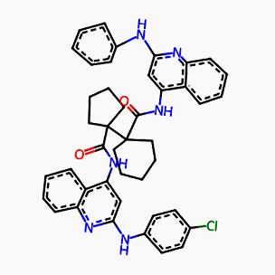 O=C(Nc1cc(Nc2ccccc2)nc2ccccc12)C1(C2(C(=O)Nc3cc(Nc4ccc(Cl)cc4)nc4ccccc34)CCCC2)CCCCC1